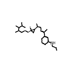 CCCNC1CCCC(C(C)CCC(C)C2CC2(I)CCCC(C)C(C)C(C)C)C1